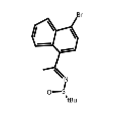 C/C(=N\[S@@+]([O-])C(C)(C)C)c1ccc(Br)c2ccccc12